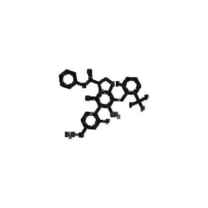 COc1ccc(-c2c(C)c(Cc3c(F)cccc3C(F)(F)F)c3n(c2=O)C(C(=O)Sc2ccccc2)CS3)c(F)c1